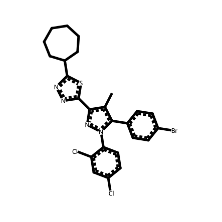 Cc1c(-c2nnc(C3CCCCCC3)s2)nn(-c2ccc(Cl)cc2Cl)c1-c1ccc(Br)cc1